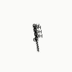 CCCCCCCCCCCC(=O)OCC(O)COCC(O)COCC(O)CO